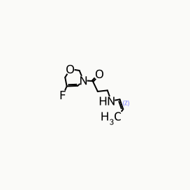 C/C=C\NCCC(=O)N1C=C(F)COC1